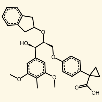 COc1cc([C@@H](O)[C@H](COc2ccc(C3(C(=O)O)CC3)cc2)OC2Cc3ccccc3C2)cc(OC)c1C